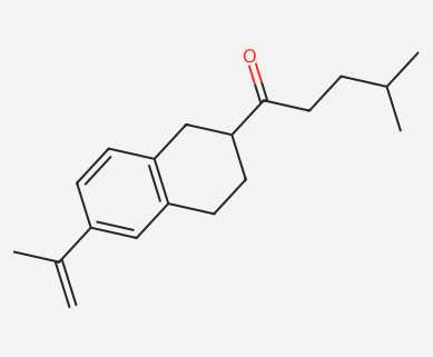 C=C(C)c1ccc2c(c1)CCC(C(=O)CCC(C)C)C2